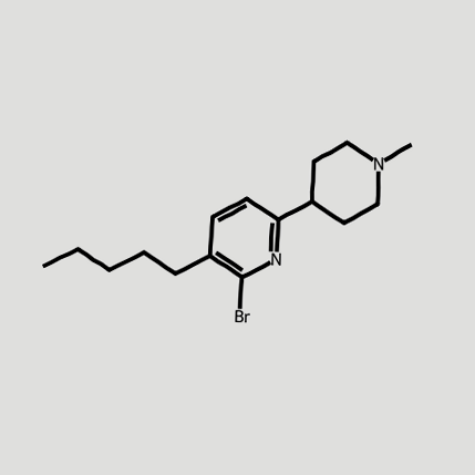 CCCCCc1ccc(C2CCN(C)CC2)nc1Br